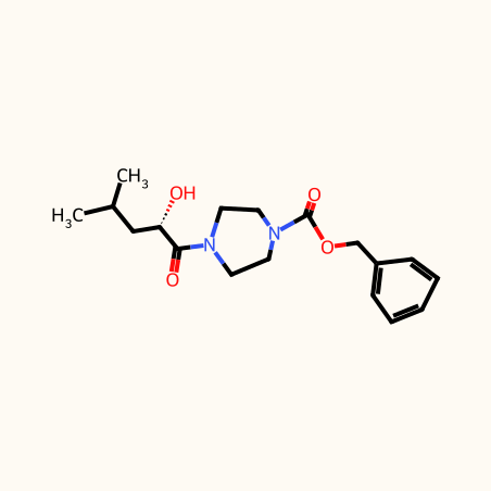 CC(C)C[C@H](O)C(=O)N1CCN(C(=O)OCc2ccccc2)CC1